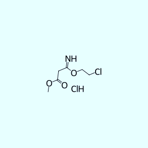 COC(=O)CC(=N)OCCCl.Cl